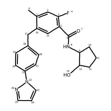 Cc1cc(F)c(C(=O)NC2CCCC2O)cc1Cc1ccc(-n2cccn2)cc1